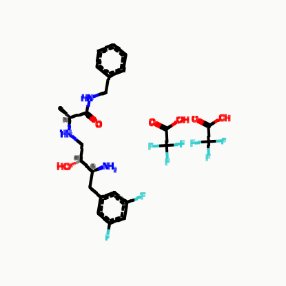 C[C@H](NC[C@@H](O)[C@@H](N)Cc1cc(F)cc(F)c1)C(=O)NCc1ccccc1.O=C(O)C(F)(F)F.O=C(O)C(F)(F)F